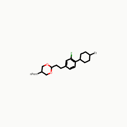 CCCCCC1COC(CCc2ccc(C3CCC(CC)CC3)c(F)c2)OC1